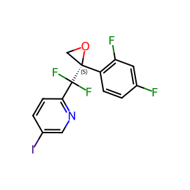 Fc1ccc([C@@]2(C(F)(F)c3ccc(I)cn3)CO2)c(F)c1